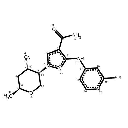 C[C@H]1C[C@H](C#N)[C@@H](n2cc(C(N)=O)c(Nc3ccnc(F)c3)n2)CO1